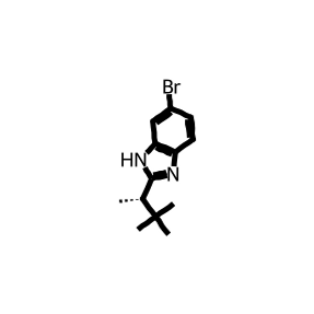 C[C@H](c1nc2ccc(Br)cc2[nH]1)C(C)(C)C